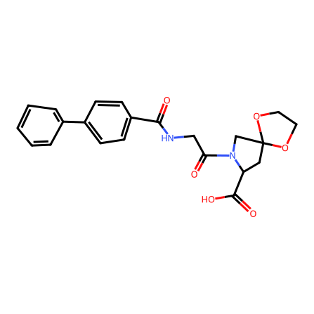 O=C(NCC(=O)N1CC2(CC1C(=O)O)OCCO2)c1ccc(-c2ccccc2)cc1